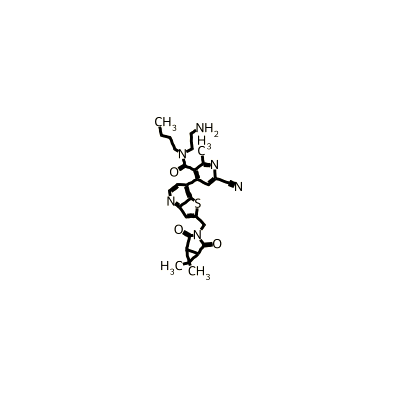 CCCCN(CCN)C(=O)c1c(-c2ccnc3cc(CN4C(=O)C5C(C4=O)C5(C)C)sc23)cc(C#N)nc1C